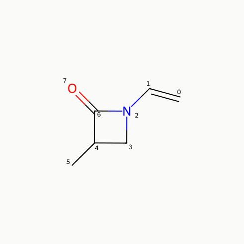 C=CN1CC(C)C1=O